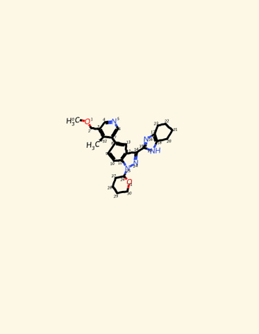 COCc1cncc(-c2ccc3c(c2)c(-c2nc4c([nH]2)CCCC4)nn3C2CCCCO2)c1C